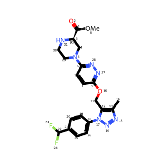 COC(=O)[C@H]1CN(c2ccc(OCc3c(C)nnn3-c3ccc(C(F)F)cc3)nn2)CCN1